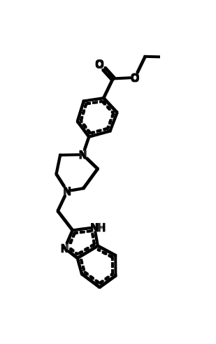 CCOC(=O)c1ccc(N2CCN(Cc3nc4ccccc4[nH]3)CC2)cc1